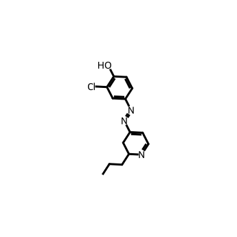 CCCC1CC(/N=N/c2ccc(O)c(Cl)c2)=CC=N1